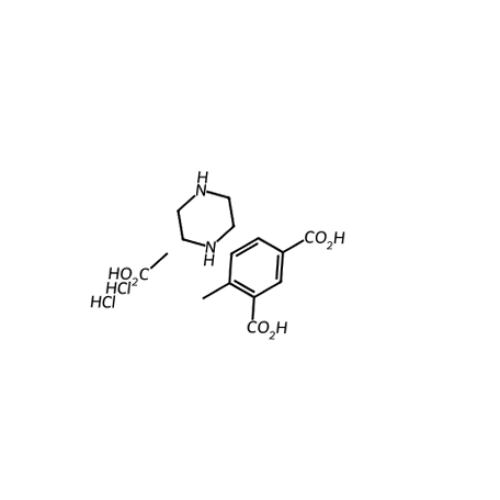 C1CNCCN1.CC(=O)O.Cc1ccc(C(=O)O)cc1C(=O)O.Cl.Cl